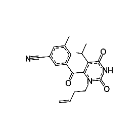 C=CCCn1c(C(=O)c2cc(C)cc(C#N)c2)c(C(C)C)c(=O)[nH]c1=O